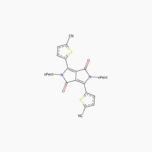 CCCCCN1C(=O)C2=C(c3ccc(C#N)s3)N(CCCCC)C(=O)C2=C1c1ccc(C#N)s1